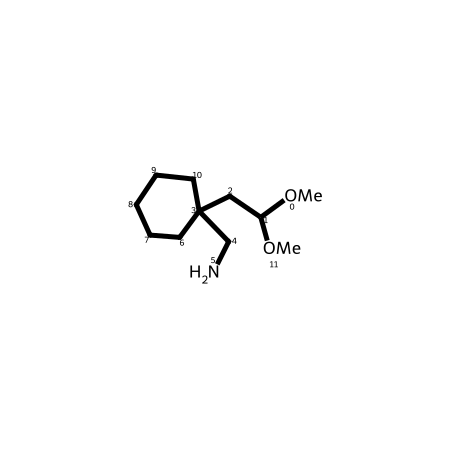 COC(CC1(CN)CCCCC1)OC